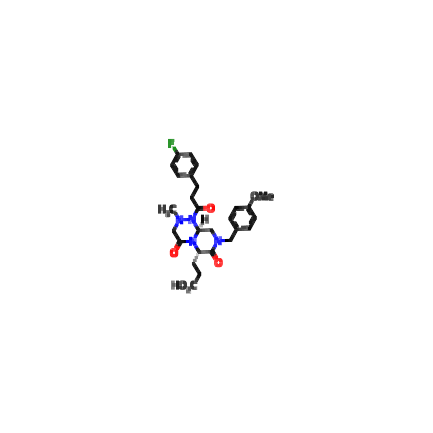 COc1ccc(CN2C[C@H]3N(C(=O)CN(C)N3C(=O)CCc3ccc(F)cc3)[C@@H](CCC(=O)O)C2=O)cc1